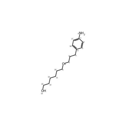 Nc1ccc(CCCOCCCCCCO)cc1